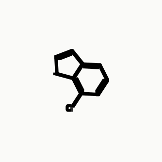 Clc1cccc2c1[CH]C=C2